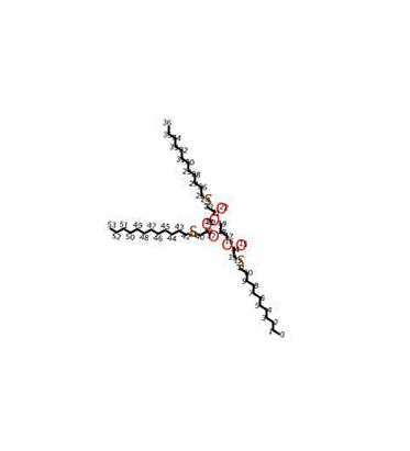 CCCCCCCCCCCCSCC(=O)OCC(COC(=O)CSCCCCCCCCCCCC)OC(=O)CSCCCCCCCCCCCC